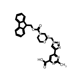 Cc1nc(C(=O)O)cc(-c2cn(C[C@@H]3CN(C(=O)OCC4c5ccccc5-c5ccccc54)CCO3)nn2)n1